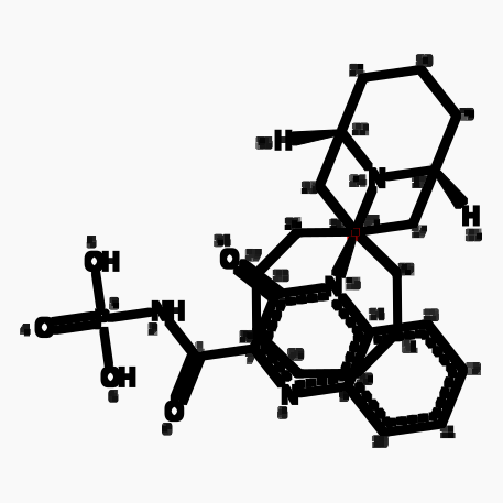 O=C(NP(=O)(O)O)c1nc2ccccc2n([C@@H]2C[C@H]3CCC[C@@H](C2)N3C2CCCCCCC2)c1=O